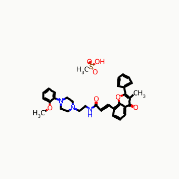 COc1ccccc1N1CCN(CCNC(=O)C=Cc2cccc3c(=O)c(C)c(-c4ccccc4)oc23)CC1.CS(=O)(=O)O